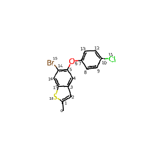 Cc1cc2cc(Oc3ccc(Cl)cc3)c(Br)cc2s1